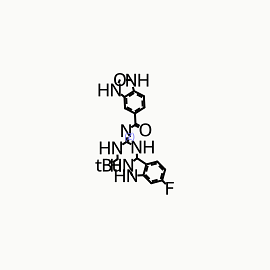 CC(C)(C)CN/C(=N/C(=O)c1ccc2c(c1)NON2)NC1NNc2cc(F)ccc21